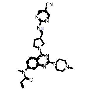 C=CC(=O)N(C)c1ccc2c(N3CCC(/C=N/c4ncc(C#N)cn4)C3)nc(N3CCN(C)CC3)nc2c1